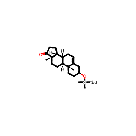 CC(C)(C)[Si](C)(C)O[C@H]1CC[C@@]2(C)C(=CC[C@H]3[C@H]4CCC(=O)[C@@]4(C)CC[C@@H]32)C1